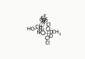 C=C(CO)c1nc2ccc(C(C(=O)OC)(c3ccc(Cl)cc3)c3ccc(Cl)cc3)cc2n1C1CCN(S(=O)(=O)C(F)(F)F)CC1